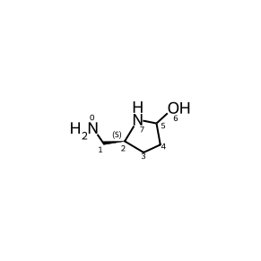 NC[C@@H]1CCC(O)N1